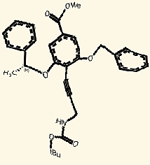 COC(=O)c1cc(OCc2ccccc2)c(C#CCNC(=O)OC(C)(C)C)c(O[C@H](C)c2ccccc2)c1